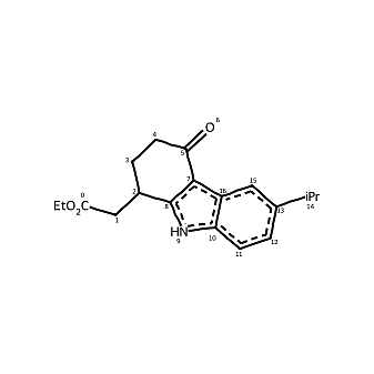 CCOC(=O)CC1CCC(=O)c2c1[nH]c1ccc(C(C)C)cc21